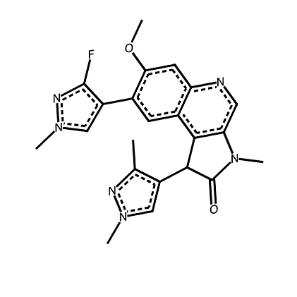 COc1cc2ncc3c(c2cc1-c1cn(C)nc1F)C(c1cn(C)nc1C)C(=O)N3C